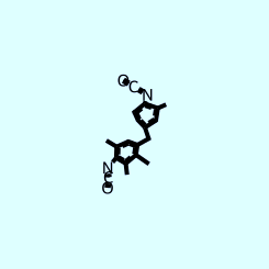 Cc1cc(Cc2cc(C)c(N=C=O)c(C)c2C)ccc1N=C=O